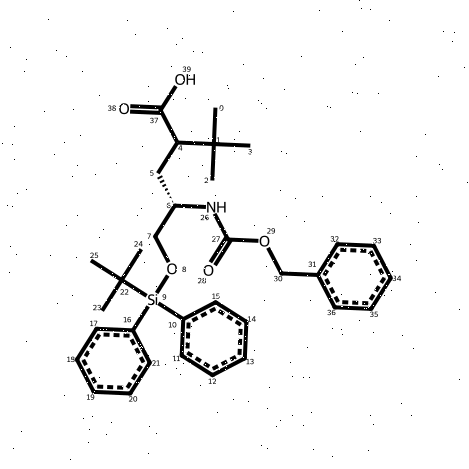 CC(C)(C)C(C[C@@H](CO[Si](c1ccccc1)(c1ccccc1)C(C)(C)C)NC(=O)OCc1ccccc1)C(=O)O